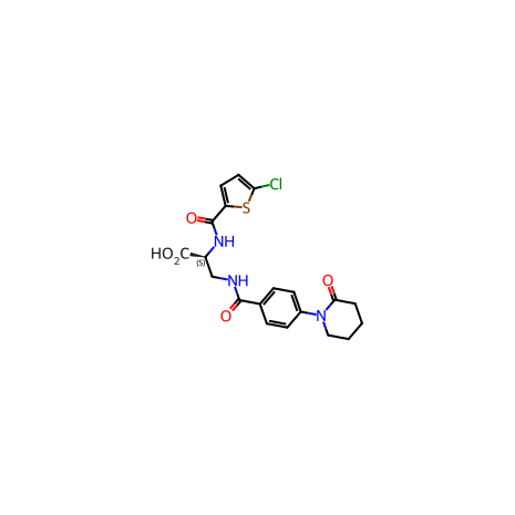 O=C(NC[C@H](NC(=O)c1ccc(Cl)s1)C(=O)O)c1ccc(N2CCCCC2=O)cc1